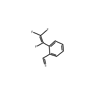 FC(F)=C(F)c1ccccc1C=S